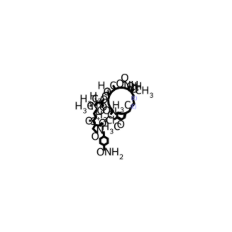 COc1cc2cc(c1Cl)N(C)C(=O)CC(OC(=O)[C@H](C)N(C)C(=O)CC[S+]([O-])C1CC(=O)N(CC3CCC(C(N)=O)CC3)C1=O)C1(C)OC1C(C)C1CC(O)(NC(=O)O1)C(OC)/C=C/C=C(\C)C2